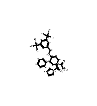 NC(=O)[N@+]1(C(=O)n2ccnc2)CCC(OCc2cc(C(F)(F)F)cc(C(F)(F)F)c2)[C@H](c2ccccc2)C1